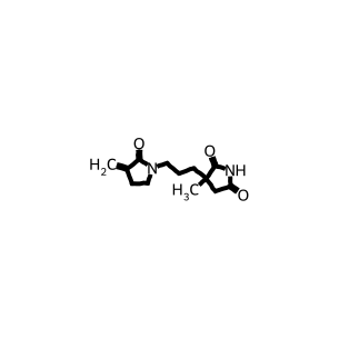 C=C1CCN(CCCC2(C)CC(=O)NC2=O)C1=O